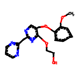 COc1ccccc1Oc1cnc(-c2ncccn2)nc1OCCO